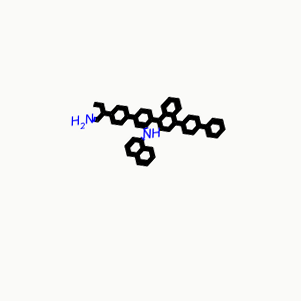 CCC(CN)C1CCC(C2C=C(NC3C=CCC4C=CCCC43)C(C3CCC(C4CCC(C5=CCCC=C5)CC4)C4C=CC=CC43)CC2)CC1